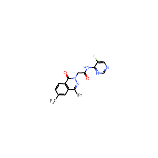 CC(C)c1nn(CC(=O)Nc2ncncc2F)c(=O)c2ccc(C(F)(F)F)cc12